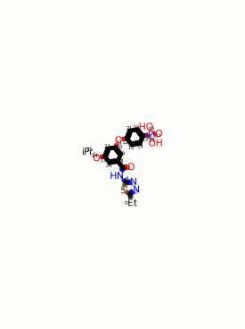 CCc1nnc(NC(=O)c2cc(Oc3ccc(P(=O)(O)O)cc3)cc(OC(C)C)c2)s1